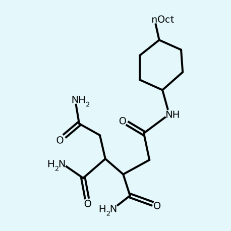 CCCCCCCCC1CCC(NC(=O)CC(C(N)=O)C(CC(N)=O)C(N)=O)CC1